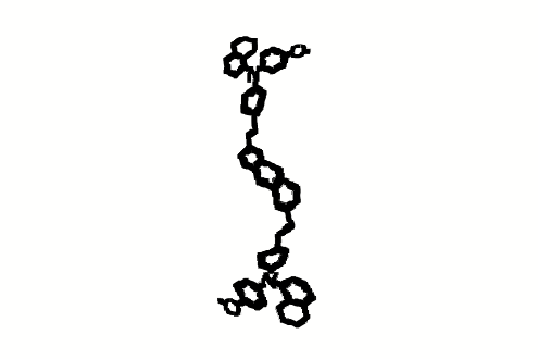 COc1ccc(N(c2ccc(C=Cc3ccc4cc5cc(C=Cc6ccc(N(c7ccc(OC)cc7)c7cccc8c7CCCC8)cc6)ccc5cc4c3)cc2)c2cccc3c2CCCC3)cc1